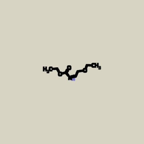 CCOC/C=N\C(=O)OCC